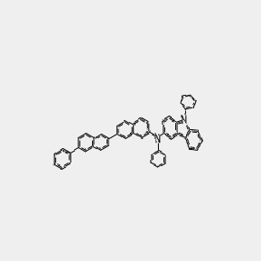 c1ccc(-c2ccc3cc(-c4ccc5ccc(N(c6ccccc6)c6ccc7c(c6)c6ccccc6n7-c6ccccc6)cc5c4)ccc3c2)cc1